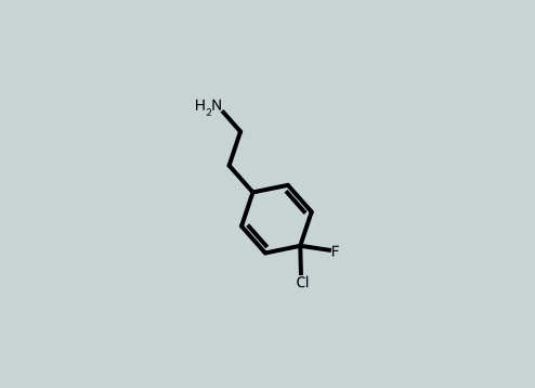 NCCC1C=CC(F)(Cl)C=C1